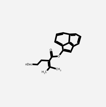 CCCCCCCCCCCCC(C(=O)OC1=Cc2cccc3cccc1c23)=C(C)C